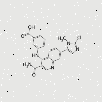 Cn1c(-c2ccc3c(Nc4cccc(C(=O)O)c4)c(C(N)=O)cnc3c2)cnc1Cl